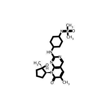 Cc1cc2cnc(NC3CCC(N=S(C)(C)=O)CC3)nc2n([C@H]2CCC[C@@]2(C)O)c1=O